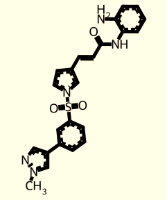 Cn1cc(-c2cccc(S(=O)(=O)n3ccc(C=CC(=O)Nc4ccccc4N)c3)c2)cn1